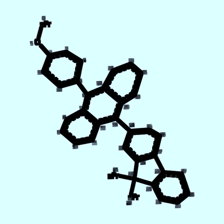 CCCOc1ccc(-c2c3ccccc3c(-c3ccc4c(c3)C(CCC)(CCC)c3ccccc3-4)c3ccccc23)cc1